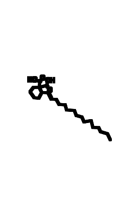 CCCCCCCCCCCCCC/C=C/C1CCCCC1(C(=O)O)C(=O)O